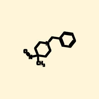 CC1(N=O)CCN(Cc2ccccc2)CC1